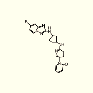 O=c1ccccn1-c1ccc(NC2CCC(Nc3nc4cc(F)ccn4n3)C2)nc1